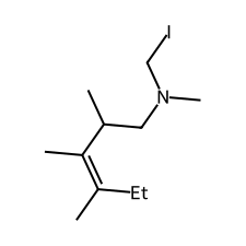 CC/C(C)=C(/C)C(C)CN(C)CI